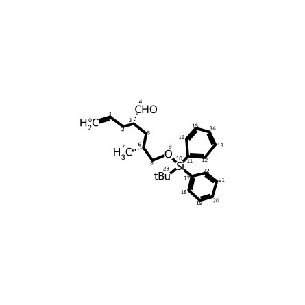 C=CC[C@H](C=O)C[C@@H](C)CO[Si](c1ccccc1)(c1ccccc1)C(C)(C)C